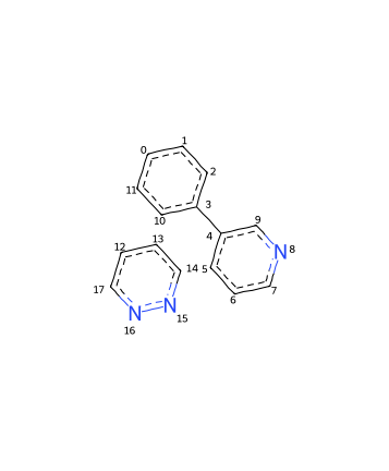 c1ccc(-c2cccnc2)cc1.c1ccnnc1